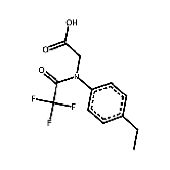 CCc1ccc(N(CC(=O)O)C(=O)C(F)(F)F)cc1